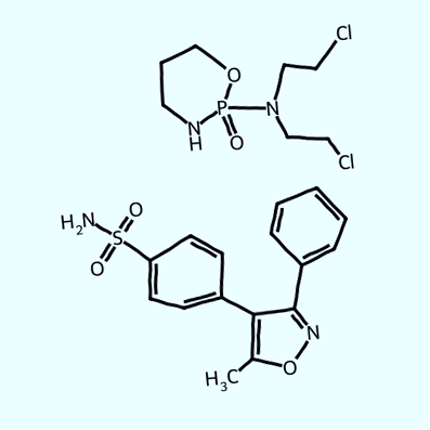 Cc1onc(-c2ccccc2)c1-c1ccc(S(N)(=O)=O)cc1.O=P1(N(CCCl)CCCl)NCCCO1